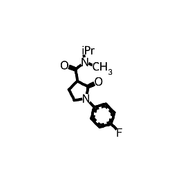 CC(C)N(C)C(=O)C1CCN(c2ccc(F)cc2)C1=O